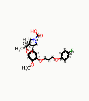 COc1ccc([C@@H]2CN(C(=O)O)C[C@@]2(C)[C@@H](C)O)cc1OCCCOc1ccc(F)cc1